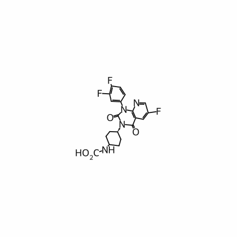 O=C(O)N[C@H]1CC[C@@H](n2c(=O)c3cc(F)cnc3n(-c3ccc(F)c(F)c3)c2=O)CC1